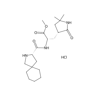 COC(=O)[C@H](C[C@@H]1CC(C)(C)NC1=O)NC(=O)[C@@H]1CC2(CCCCC2)CN1.Cl